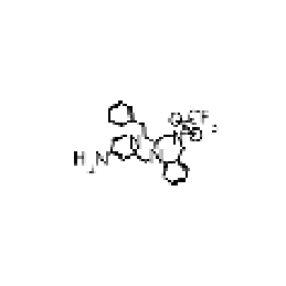 Nc1ccnc(CN2c3ccccc3CN(S(=O)(=O)C(F)(F)F)C[C@@H]2CCc2ccccc2)c1